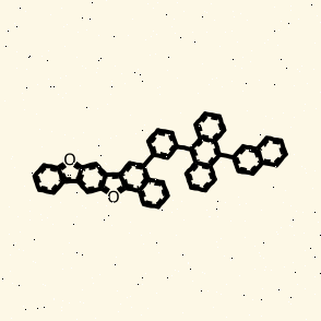 c1cc(-c2c3ccccc3c(-c3ccc4ccccc4c3)c3ccccc23)cc(-c2cc3c4cc5oc6ccccc6c5cc4oc3c3ccccc23)c1